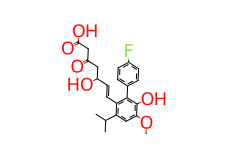 COc1cc(C(C)C)c(C=CC(O)CC(=O)CC(=O)O)c(-c2ccc(F)cc2)c1O